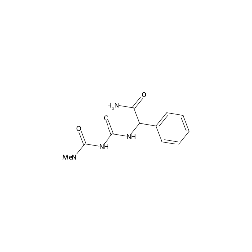 CNC(=O)NC(=O)NC(C(N)=O)c1ccccc1